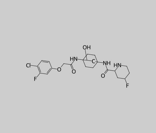 O=C(COc1ccc(Cl)c(F)c1)NC12CCC(NC(=O)C3CC(F)CCN3)(CC1)CC2O